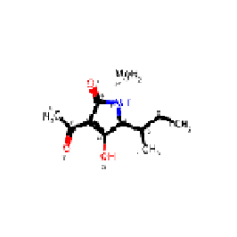 CCC(C)C1NC(=O)C(C(C)=O)=C1O.[MgH2]